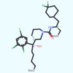 CNC[C@H](CC1CCC(F)(F)CC1)NC(=O)N1CCC[C@@H]([C@@](O)(CCCCOC)c2cc(F)cc(F)c2F)C1